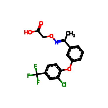 CC(=NOCC(=O)O)c1cccc(Oc2ccc(C(F)(F)F)cc2Cl)c1